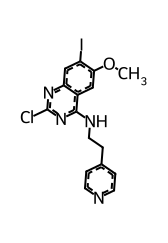 COc1cc2c(NCCc3ccncc3)nc(Cl)nc2cc1I